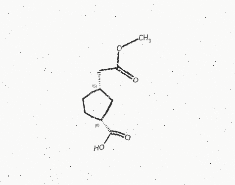 COC(=O)C[C@H]1CC[C@@H](C(=O)O)C1